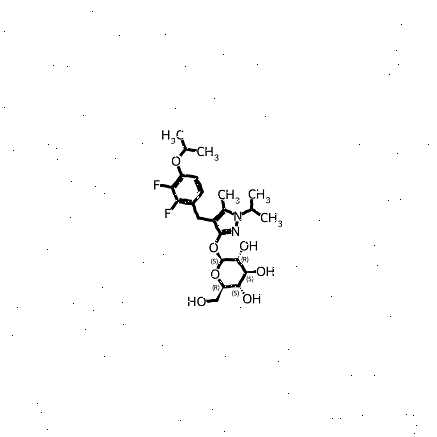 Cc1c(Cc2ccc(OC(C)C)c(F)c2F)c(O[C@@H]2O[C@H](CO)[C@@H](O)[C@H](O)[C@H]2O)nn1C(C)C